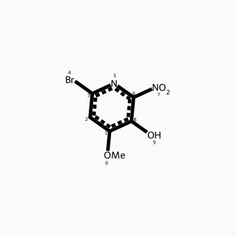 COc1cc(Br)nc([N+](=O)[O-])c1O